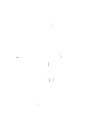 COc1ccc(Br)cc1-c1nc(NCc2cccnc2)c2ccccc2n1